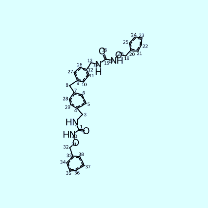 O=C(NCc1ccc(Cc2ccc(CNC(=O)NOCc3ccccc3)cc2)cc1)NOCc1ccccc1